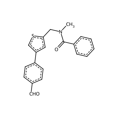 CN(Cc1cc(-c2ccc(C=O)cc2)cs1)C(=O)c1ccccc1